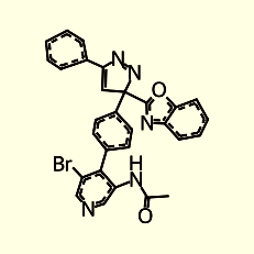 CC(=O)Nc1cncc(Br)c1-c1ccc(C2(c3nc4ccccc4o3)C=C(c3ccccc3)N=N2)cc1